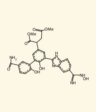 COC(=O)CC(C(=O)OC)c1cc(-c2nc3cc(C(=N)NO)ccc3[nH]2)c(O)c(-c2cc(C(N)=O)ccc2O)c1